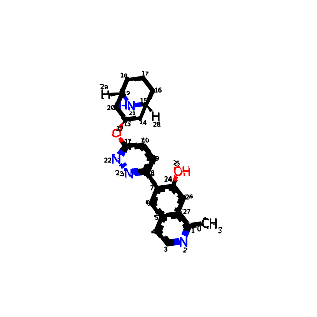 Cc1nccc2cc(-c3ccc(O[C@@H]4C[C@H]5CCC[C@@H](C4)N5)nn3)c(O)cc12